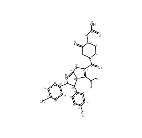 CC(C)C1=C(C(=O)N2CCN(CC(=O)O)C(=O)C2)SC2=NC(c3ccc(Cl)cc3)C(c3ccc(Cl)cc3)N21